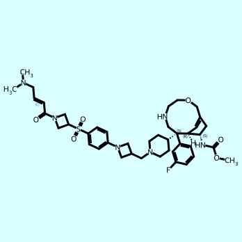 COC(=O)N[C@H]1CC2=C[C@@H]1[C@](c1cccc(F)c1)(C1CCN(CC3CN(c4ccc(S(=O)(=O)C5CN(C(=O)/C=C/CN(C)C)C5)cc4)C3)CC1)CNCCOC2